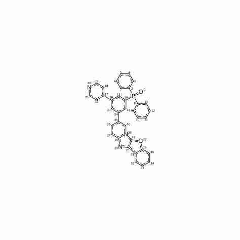 O=P(c1ccccc1)(c1ccccc1)c1cc(-c2ccncc2)cc(-c2ccc3nc4c5ccccc5oc4n3c2)c1